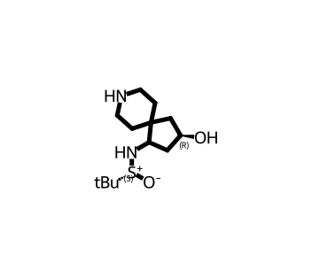 CC(C)(C)[S@@+]([O-])NC1C[C@H](O)CC12CCNCC2